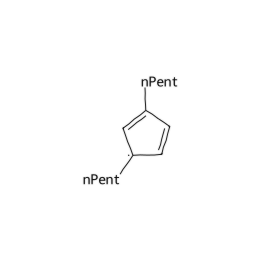 CCCCC[C]1C=CC(CCCCC)=C1